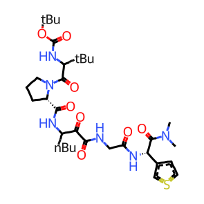 CCCCC(NC(=O)[C@@H]1CCCN1C(=O)C(NC(=O)OC(C)(C)C)C(C)(C)C)C(=O)C(=O)NCC(=O)N[C@H](C(=O)N(C)C)c1ccsc1